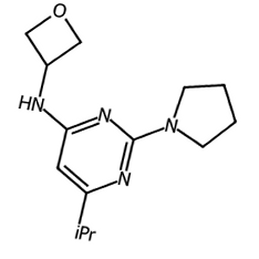 CC(C)c1cc(NC2COC2)nc(N2CCCC2)n1